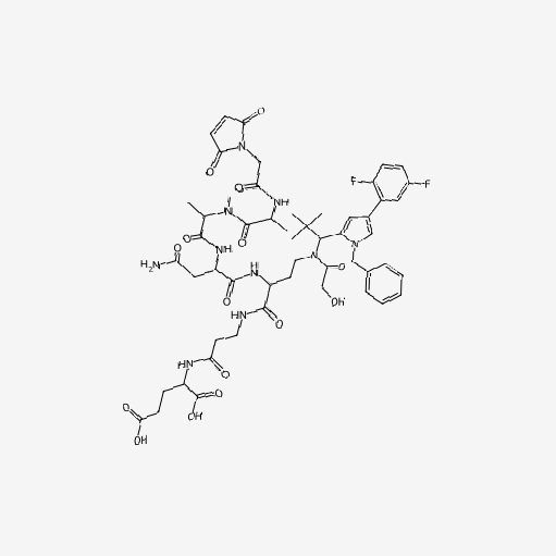 CC(NC(=O)CN1C(=O)C=CC1=O)C(=O)N(C)C(C)C(=O)NC(CC(N)=O)C(=O)NC(CCN(C(=O)CO)C(c1cc(-c2cc(F)ccc2F)cn1Cc1ccccc1)C(C)(C)C)C(=O)NCCC(=O)NC(CCC(=O)O)C(=O)O